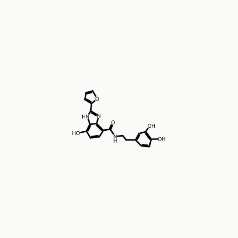 O=C(NCCc1ccc(O)c(O)c1)c1ccc(O)c2[nH]c(-c3ccco3)nc12